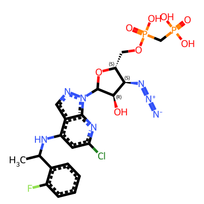 CC(Nc1cc(Cl)nc2c1cnn2C1O[C@H](COP(=O)(O)CP(=O)(O)O)[C@@H](N=[N+]=[N-])[C@H]1O)c1ccccc1F